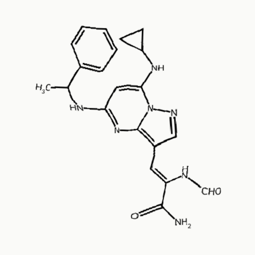 CC(Nc1cc(NC2CC2)n2ncc(/C=C(\NC=O)C(N)=O)c2n1)c1ccccc1